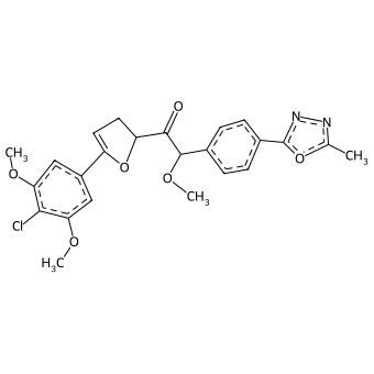 COc1cc(C2=CCC(C(=O)C(OC)c3ccc(-c4nnc(C)o4)cc3)O2)cc(OC)c1Cl